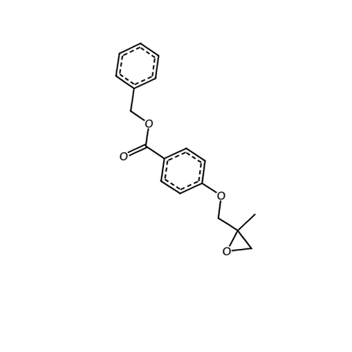 CC1(COc2ccc(C(=O)OCc3ccccc3)cc2)CO1